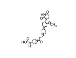 COc1cc(N2CCN(CCC(=O)N3CCC(NC(=O)O)CC3)CC2)ccc1N1CCC(=O)NC1=O